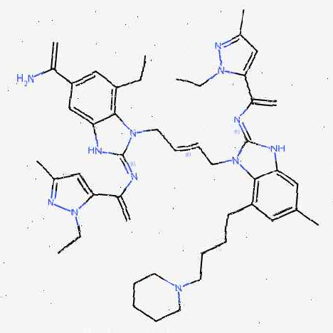 C=C(N)c1cc(CC)c2c(c1)[nH]/c(=N\C(=C)c1cc(C)nn1CC)n2C/C=C/Cn1/c(=N/C(=C)c2cc(C)nn2CC)[nH]c2cc(C)cc(CCCCN3CCCCC3)c21